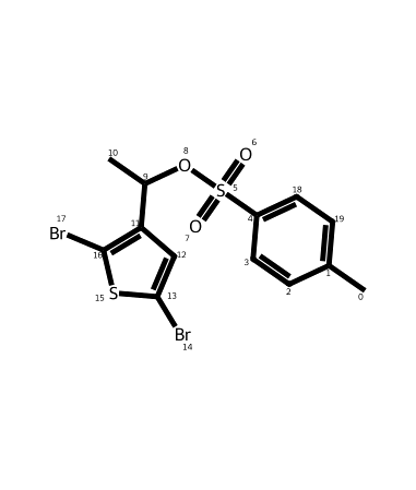 Cc1ccc(S(=O)(=O)OC(C)c2cc(Br)sc2Br)cc1